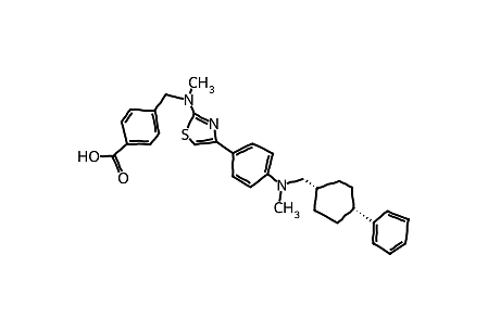 CN(Cc1ccc(C(=O)O)cc1)c1nc(-c2ccc(N(C)C[C@H]3CC[C@@H](c4ccccc4)CC3)cc2)cs1